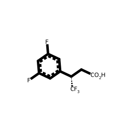 O=C(O)C[C@@H](c1cc(F)cc(F)c1)C(F)(F)F